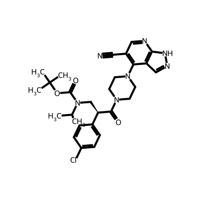 CC(C)N(C[C@@H](C(=O)N1CCN(c2c(C#N)cnc3[nH]ncc23)CC1)c1ccc(Cl)cc1)C(=O)OC(C)(C)C